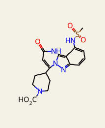 CS(=O)(=O)Nc1cccc2nn3c(C4CCN(C(=O)O)CC4)cc(=O)[nH]c3c12